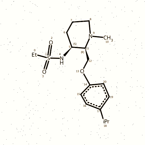 CCS(=O)(=O)N[C@H]1CCCN(C)[C@H]1COc1ccc(C(C)C)cc1